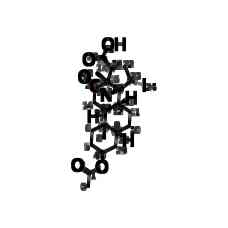 CC(=O)O[C@H]1CC[C@@]2(C)[C@H](CC[C@@H]3[C@@H]2CC[C@]2(C)[C@@H](C(=O)O)C[C@H](I)[C@]32N=C=O)C1